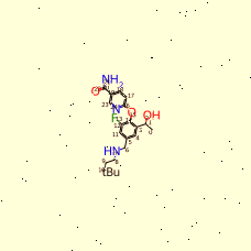 CC(O)c1cc(CNCCC(C)(C)C)cc(F)c1Oc1ccc(C(N)=O)cn1